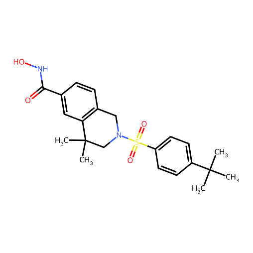 CC(C)(C)c1ccc(S(=O)(=O)N2Cc3ccc(C(=O)NO)cc3C(C)(C)C2)cc1